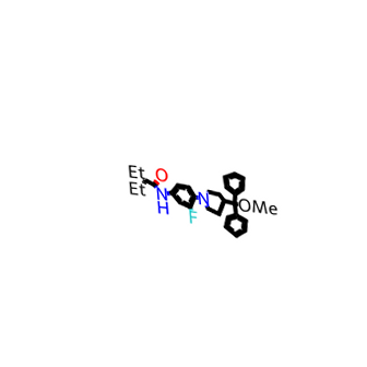 CCC(CC)C(=O)Nc1ccc(N2CCC(C(OC)(c3ccccc3)c3ccccc3)CC2)c(F)c1